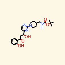 CC(C)(C)OC(=O)NCC1CCN(c2nccc(C(O)CC(=O)c3ccccc3O)n2)CC1